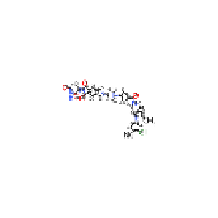 C[C@H]1CC2(CCN(C(=O)c3ccc(N4CCC(N5Cc6cc7c(cc6C5)C(=O)N(C5CCC(=O)NC5=O)C7=O)CC4)cc3)CC2)CN1c1ccc(C#N)c(Cl)c1